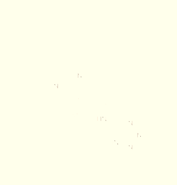 CCC1=CN2CC(C(=O)Nc3nnn[nH]3)=S(=O)=C2N=C1C